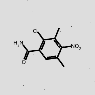 Cc1cc(C(N)=O)c(Cl)c(C)c1[N+](=O)[O-]